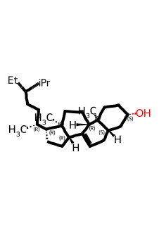 CCC(CC[C@@H](C)[C@H]1CC[C@H]2C3=CC[C@H]4C[C@@H](O)CC[C@]4(C)[C@H]3CC[C@]12C)C(C)C